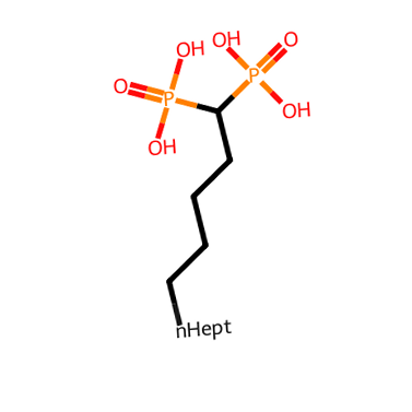 CCCCCCCCCCCC(P(=O)(O)O)P(=O)(O)O